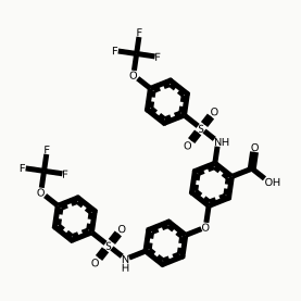 O=C(O)c1cc(Oc2ccc(NS(=O)(=O)c3ccc(OC(F)(F)F)cc3)cc2)ccc1NS(=O)(=O)c1ccc(OC(F)(F)F)cc1